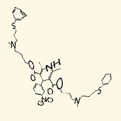 CC1=C(C(=O)OCCCN(C)CCCSc2ccccc2)C(c2cccc([N+](=O)[O-])c2)C(C(=O)OCCCN(C)CCCSc2ccccc2)=C(C)N1